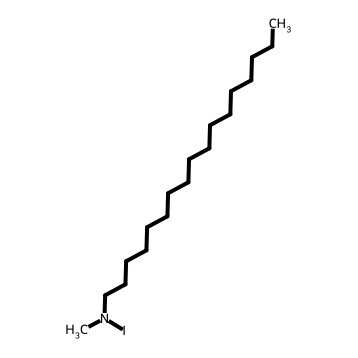 CCCCCCCCCCCCCCCCCN(C)I